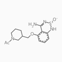 CC(=O)N1CCCC(COc2cccc3c2C(N)=N[S+]([O-])N3)C1